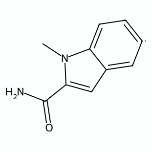 Cn1c(C(N)=O)cc2c[c]ccc21